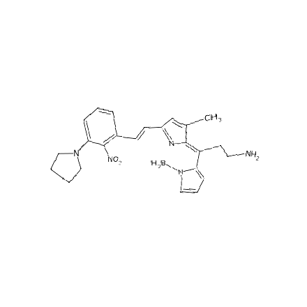 Bn1cccc1/C(CCN)=C1N=C(/C=C/c2cccc(N3CCCC3)c2[N+](=O)[O-])C=C\1C